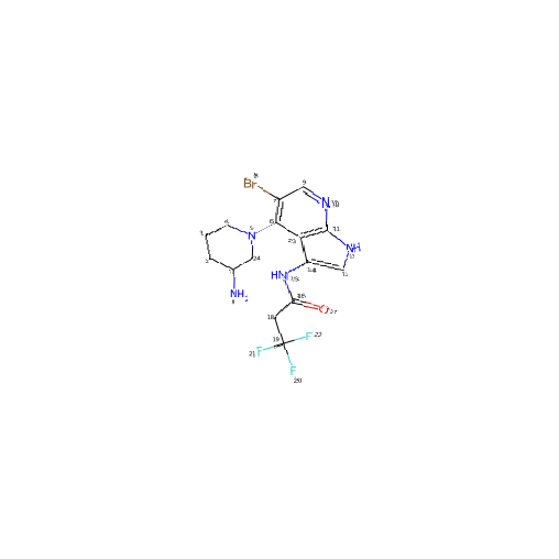 NC1CCCN(c2c(Br)cnc3[nH]cc(NC(=O)CC(F)(F)F)c23)C1